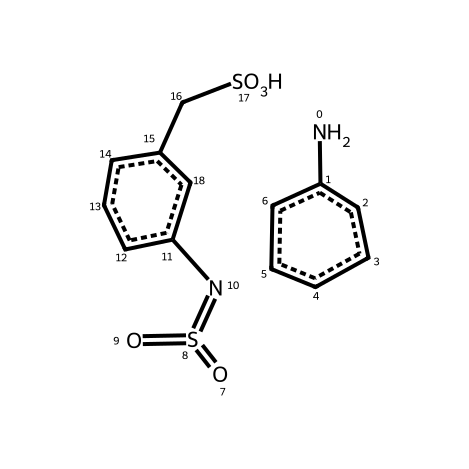 Nc1ccccc1.O=S(=O)=Nc1cccc(CS(=O)(=O)O)c1